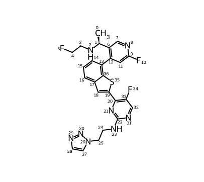 C[C@H](NCCF)c1cnc(F)cc1-c1cccc2cc(-c3nc(NCCn4ccnn4)ncc3F)sc12